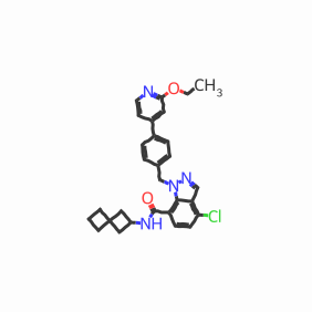 CCOc1cc(-c2ccc(Cn3ncc4c(Cl)ccc(C(=O)NC5CC6(CCC6)C5)c43)cc2)ccn1